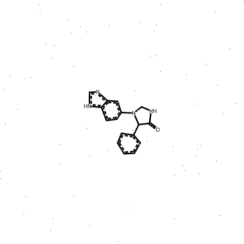 O=C1NCN(c2ccc3[nH]cnc3c2)C1c1ccccc1